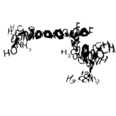 CC[C@@H]([C@H](C)OC(=O)[C@@H](N)CO)n1ncn(-c2ccc(N3CCN(c4ccc(OC[C@@H]5CO[C@@](Cn6c[n+](C(C)OC(=O)N(C)c7ccccc7COC(=O)[C@H](CCCNC(=O)OC(C)(C)C)NC(=O)OC(C)(C)C)cn6)(c6ccc(F)cc6F)C5)cc4)CC3)cc2)c1=O